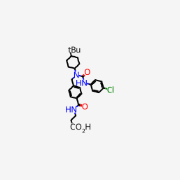 CC(C)(C)C1CCC(N(Cc2ccc(C(=O)NCCC(=O)O)cc2)C(=O)Nc2ccc(Cl)cc2)CC1